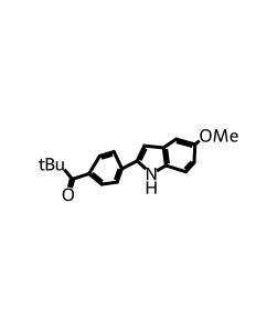 COc1ccc2[nH]c(-c3ccc(C(=O)C(C)(C)C)cc3)cc2c1